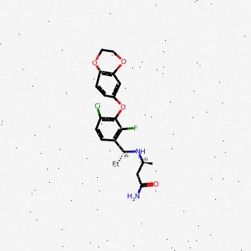 CC[C@@H](N[C@@H](C)CC(N)=O)c1ccc(Cl)c(Oc2ccc3c(c2)OCCO3)c1F